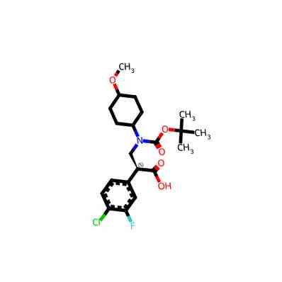 COC1CCC(N(C[C@@H](C(=O)O)c2ccc(Cl)c(F)c2)C(=O)OC(C)(C)C)CC1